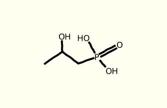 CC(O)CP(=O)(O)O